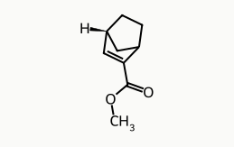 COC(=O)C1=C[C@@H]2CCC1C2